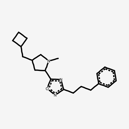 CN1CC(CC2CCC2)CC1c1nc(CCCc2ccccc2)no1